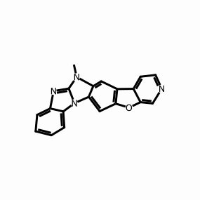 Cn1c2cc3c(cc2n2c4ccccc4nc12)oc1cnccc13